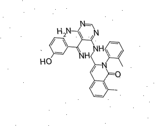 Cc1ccccc1-n1c(CNc2ncnc(N)c2C(=N)c2cccc(O)c2)cc2cccc(C)c2c1=O